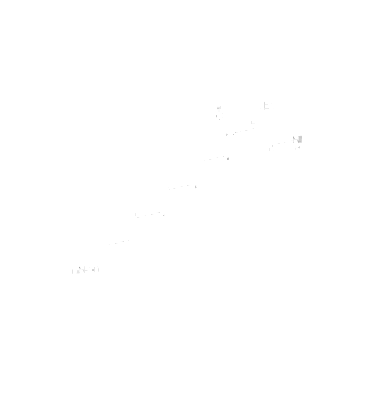 CCCCCCCCCCCCCCCCCC(=O)C(CC)CN